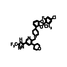 C[C@]1(c2ccc(Cl)cc2F)Oc2cccc(C3CCN(Cc4ncc(-c5nnc(C(F)(F)F)[nH]5)cc4C4CCOCC4)CC3)c2O1